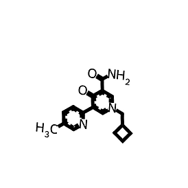 Cc1ccc(-c2cn(CC3CCC3)cc(C(N)=O)c2=O)nc1